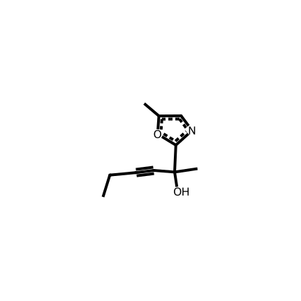 CCC#CC(C)(O)c1ncc(C)o1